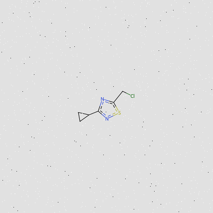 ClCc1nc(C2CC2)ns1